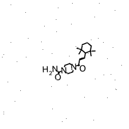 CC1(C)CCCC(C)(C)C1C=CC(=O)N1CCN(C(N)=O)CC1